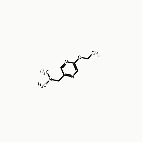 CCOc1cnc(CN(C)C)cn1